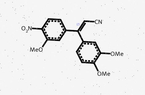 COc1ccc(/C(=C\C#N)c2ccc([N+](=O)[O-])c(OC)c2)cc1OC